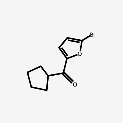 O=C(c1ccc(Br)o1)C1CCCC1